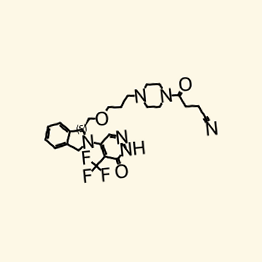 N#CCCC(=O)N1CCN(CCCOC[C@@H]2c3ccccc3CN2c2cn[nH]c(=O)c2C(F)(F)F)CC1